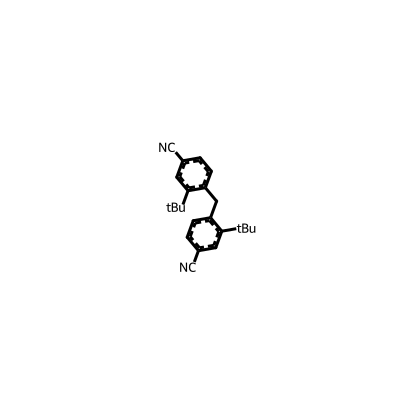 CC(C)(C)c1cc(C#N)ccc1Cc1ccc(C#N)cc1C(C)(C)C